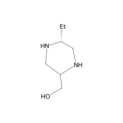 CC[C@@H]1CNC(CO)CN1